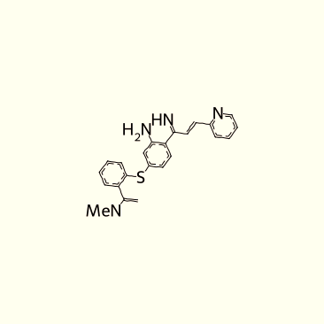 C=C(NC)c1ccccc1Sc1ccc(C(=N)/C=C/c2ccccn2)c(N)c1